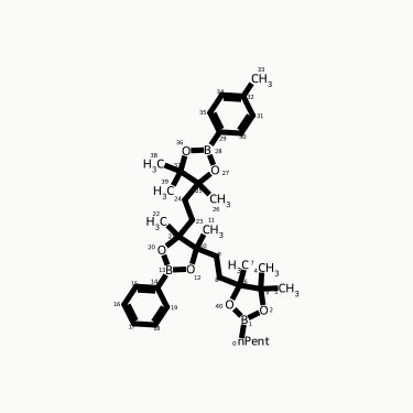 CCCCCB1OC(C)(C)C(C)(CCC2(C)OB(c3ccccc3)OC2(C)CCC2(C)OB(c3ccc(C)cc3)OC2(C)C)O1